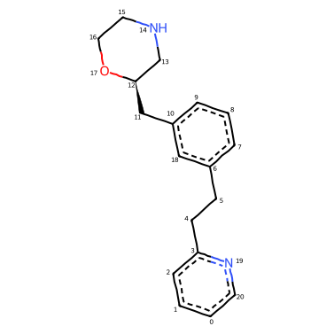 c1ccc(CCc2cccc(C[C@@H]3CNCCO3)c2)nc1